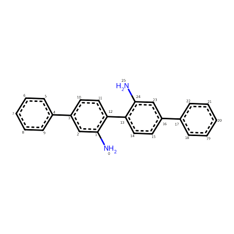 Nc1cc(-c2ccccc2)ccc1-c1ccc(-c2ccccc2)cc1N